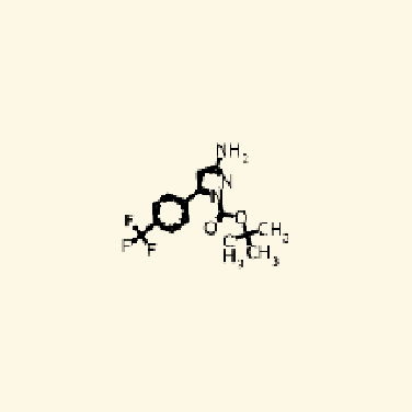 CC(C)(C)OC(=O)n1nc(N)cc1-c1ccc(C(F)(F)F)cc1